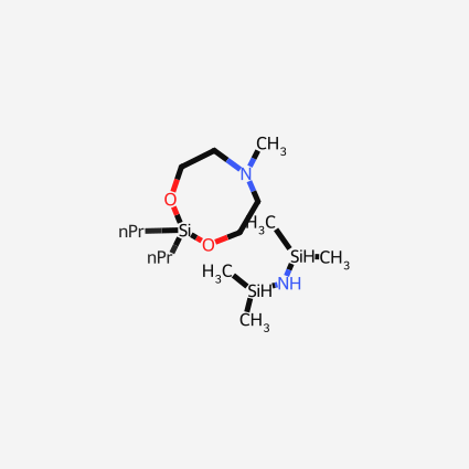 CCC[Si]1(CCC)OCCN(C)CCO1.C[SiH](C)N[SiH](C)C